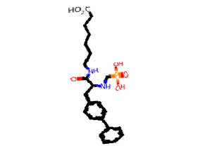 O=C(O)CCCCCCNC(=O)C(Cc1ccc(-c2ccccc2)cc1)NCP(=O)(O)O